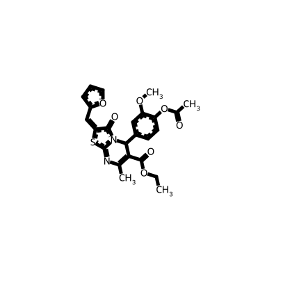 CCOC(=O)C1=C(C)N=c2s/c(=C/c3ccco3)c(=O)n2C1c1ccc(OC(C)=O)c(OC)c1